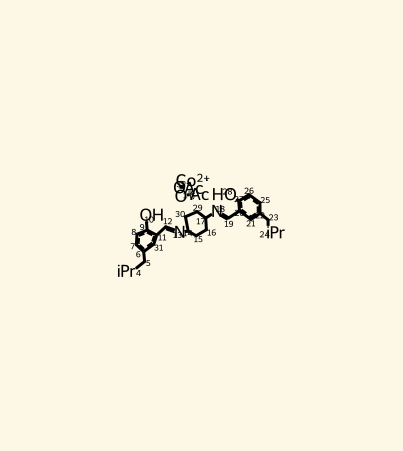 CC(=O)[O-].CC(=O)[O-].CC(C)Cc1ccc(O)c(C=NC2CCC(N=Cc3cc(CC(C)C)ccc3O)CC2)c1.[Co+2]